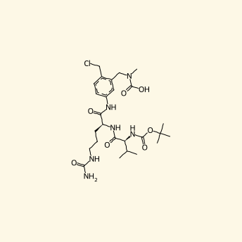 CC(C)[C@H](NC(=O)OC(C)(C)C)C(=O)N[C@@H](CCCNC(N)=O)C(=O)Nc1ccc(CCl)c(CN(C)C(=O)O)c1